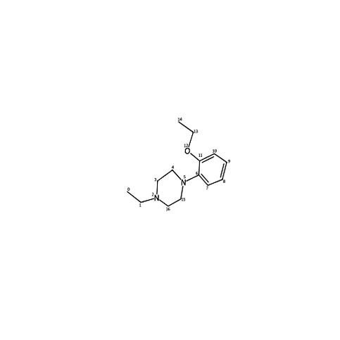 C[CH]N1CCN(c2ccccc2OCC)CC1